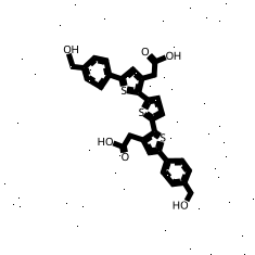 O=C(O)Cc1cc(-c2ccc(CO)cc2)sc1-c1ccc(-c2sc(-c3ccc(CO)cc3)cc2CC(=O)O)s1